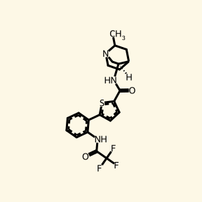 CC1CC2CCN1C[C@@H]2NC(=O)c1ccc(-c2ccccc2NC(=O)C(F)(F)F)s1